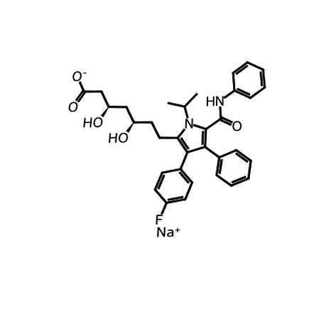 CC(C)n1c(CC[C@@H](O)C[C@@H](O)CC(=O)[O-])c(-c2ccc(F)cc2)c(-c2ccccc2)c1C(=O)Nc1ccccc1.[Na+]